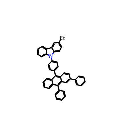 CCc1ccc2c(c1)c1ccccc1n2-c1ccc(-c2c3ccccc3c(-c3ccccc3)c3cc(-c4ccccc4)ccc23)cc1